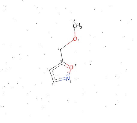 COCc1ccno1